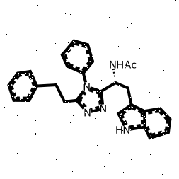 CC(=O)N[C@H](Cc1c[nH]c2ccccc12)c1nnc(CCc2ccccc2)n1-c1ccccc1